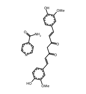 COc1cc(/C=C/C(=O)CC(=O)/C=C/c2ccc(O)c(OC)c2)ccc1O.NC(=O)c1ccncc1